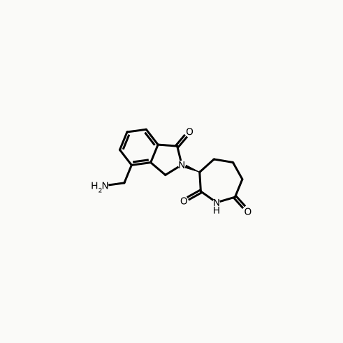 NCc1cccc2c1CN([C@H]1CCCC(=O)NC1=O)C2=O